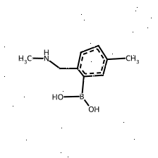 CNCc1ccc(C)cc1B(O)O